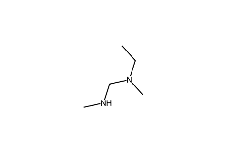 CCN(C)CNC